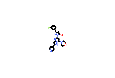 Oc1cc(-c2cccc(F)c2)nn1-c1cc(N2CCOCC2)n2nc(-c3ccncc3)cc2n1